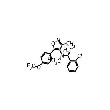 Cc1noc(-c2ccc(OC(F)(F)F)cc2)c1N(C(=O)O)C(C)c1ccccc1Cl